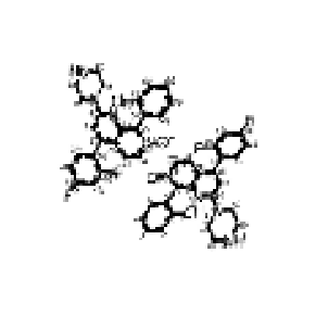 Cc1ccccc1-c1c2nc(N3CCNCC3)cc(-c3ccc(F)cc3F)c2cc[n+]1[O-].[O-][n+]1ccc2c(-c3ccc(F)cc3F)cc(N3CCNCC3)nc2c1-c1ccccc1Cl